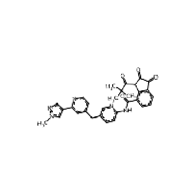 Cn1cc(-c2cc(Cc3ccc(NC(=O)c4cccc5c4C(C(=O)C(C)(C)C)C(=O)C5=O)nc3)ccn2)cn1